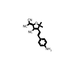 CC1(C)OC(=C(C#N)C#N)C(C#N)=C1C=Cc1ccc(N)cc1